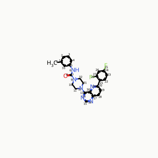 Cc1cccc(NC(=O)N2CCN(c3ncnc4ccc(-c5ccc(F)cc5F)nc34)CC2)c1